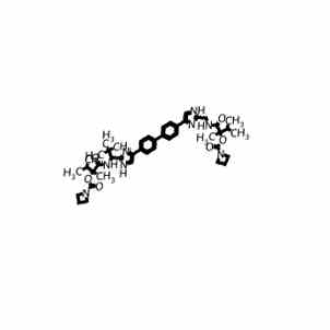 CC(C)C(C)(OC(=O)N1CCC1)C(=O)NCc1nc(-c2ccc(-c3ccc(-c4c[nH]c(C(NC(=O)C(C)(OC(=O)N5CCC5)C(C)C)C(C)(C)C)n4)cc3)cc2)c[nH]1